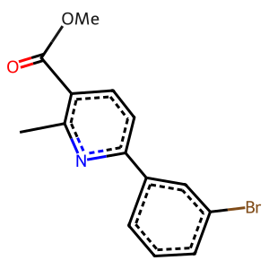 COC(=O)c1ccc(-c2cccc(Br)c2)nc1C